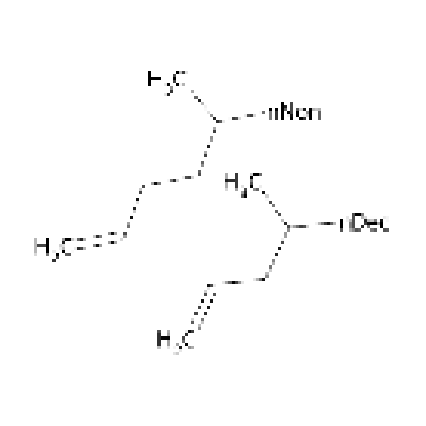 C=CCC(C)CCCCCCCCCC.C=CCCC(C)CCCCCCCCC